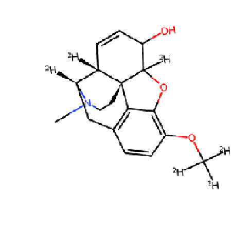 [2H]C([2H])([2H])Oc1ccc2c3c1OC1([2H])C(O)C=C[C@@]4([2H])[C@@]([2H])(C2)N(C)CC[C@]314